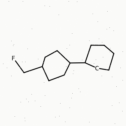 FCC1CCC(C2CCCCC2)CC1